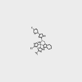 CCn1cc(C2(c3nnc(N(C)C)o3)N[C@@H](c3nc(-c4ccc(F)cn4)c[nH]3)Cc3c2[nH]c2ccccc32)cn1